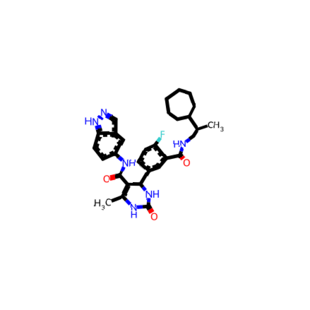 CC1=C(C(=O)Nc2ccc3[nH]ncc3c2)C(c2ccc(F)c(C(=O)NCC(C)C3CCCCCC3)c2)NC(=O)N1